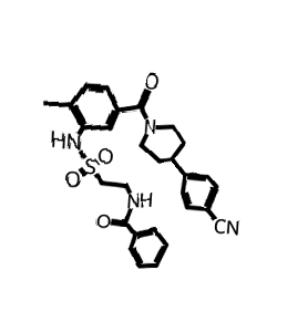 Cc1ccc(C(=O)N2CCC(c3ccc(C#N)cc3)CC2)cc1NS(=O)(=O)CCNC(=O)c1ccccc1